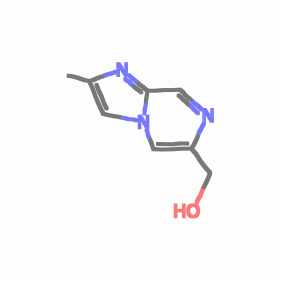 Cc1cn2cc(CO)ncc2n1